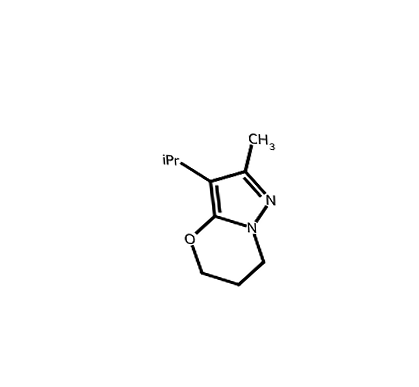 Cc1nn2c(c1C(C)C)OCCC2